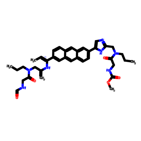 C=C(CN(CCC)C(=O)CNC=O)N/C(=C\C)c1ccc2cc3cc(-c4cnc(CN(CCC)C(=O)CNC(=O)OC)[nH]4)ccc3cc2c1